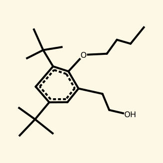 CCCCOc1c(CCO)cc(C(C)(C)C)cc1C(C)(C)C